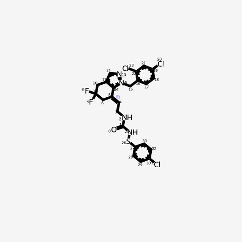 O=C(NC/C=C1\CC(F)(F)Cc2cnn(Cc3ccc(Cl)cc3Cl)c21)NSc1ccc(Cl)cc1